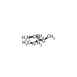 C.CN.CO[SiH2]OC